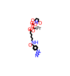 CC(C)C(OC(=O)CCCCCNC(=O)c1ccc(N=[N+]=[N-])cc1)OC(=O)ON1C(=O)CCC1=O